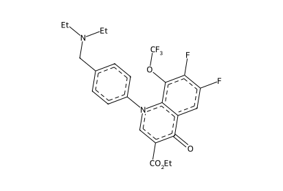 CCOC(=O)c1cn(-c2ccc(CN(CC)CC)cc2)c2c(OC(F)(F)F)c(F)c(F)cc2c1=O